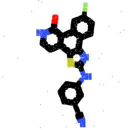 N#Cc1cccc(Nc2nc3c4ccc(F)cc4c4c(=O)[nH]ccc4c3s2)c1